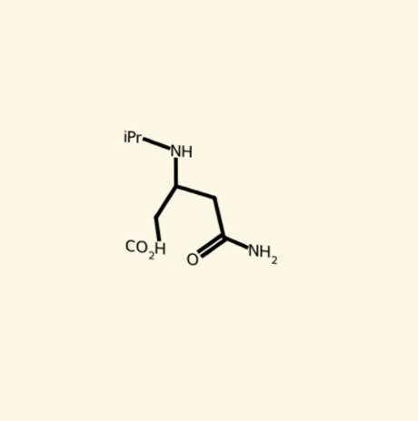 CC(C)NC(CC(N)=O)CC(=O)O